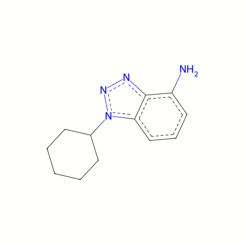 Nc1cccc2c1nnn2C1CCCCC1